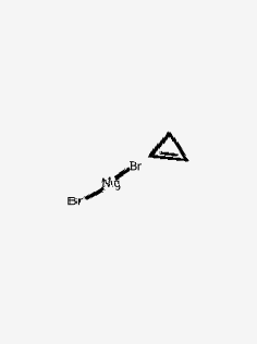 C1=CC1.[Br][Mg][Br]